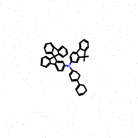 CC1(C)c2ccccc2-c2ccc(N(C3=CC=C(C4=CC=CCC4)CC3)c3ccc4c(c3)C3(c5ccccc5-c5ccccc53)c3ccccc3-4)cc21